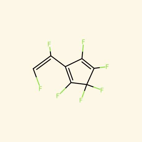 F/C=C(/F)C1=C(F)C(F)(F)C(F)=C1F